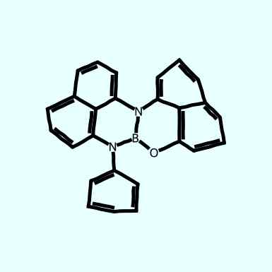 c1ccc(N2B3Oc4cccc5cccc(c45)N3c3cccc4cccc2c34)cc1